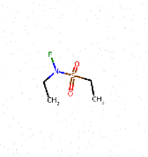 CCN(F)S(=O)(=O)CC